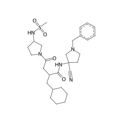 CS(=O)(=O)NC1CCN(C(=O)CC(CC2CCCCC2)C(=O)NC2(C#N)CCN(Cc3ccccc3)C2)C1